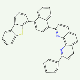 c1ccc(-c2ccc3ccc4ccc(-c5ccc(-c6cccc7c6sc6ccccc67)c6ccccc56)nc4c3n2)cc1